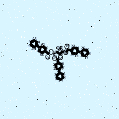 O=C(OC[C@H]1SS[C@@H](OC(=O)c2ccc(-c3ccccc3)cc2)[C@H]1OC(=O)c1ccc(-c2ccccc2)cc1)c1ccc(-c2ccccc2)cc1